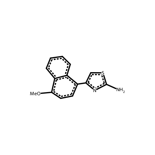 COc1ccc(-c2csc(N)n2)c2ccccc12